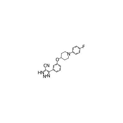 N#Cc1[nH]nnc1-c1cccc(OC2CCN(c3ccc(F)cc3)CC2)c1